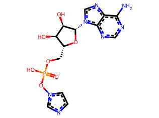 Nc1ncnc2c1ncn2[C@@H]1O[C@H](COP(=O)(O)On2ccnc2)[C@@H](O)[C@H]1O